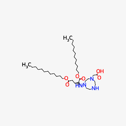 CCCCCCCCCCCCOC(=O)CC[C@H](NN1CCNCCN(CC(=O)O)CC1)C(=O)OCCCCCCCCCCCC